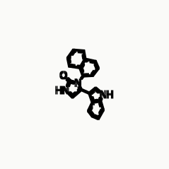 O=c1[nH]cc(-c2c[nH]c3ccccc23)n1-c1cccc2ccccc12